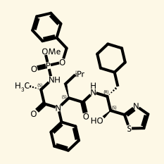 COP(=O)(N[C@@H](C)C(=O)N(c1ccccc1)[C@@H](CC(C)C)C(=O)N[C@H](CC1CCCCC1)[C@H](O)c1nccs1)OCc1ccccc1